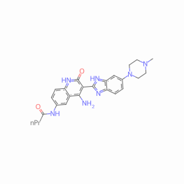 CCCC(=O)Nc1ccc2[nH]c(=O)c(-c3nc4ccc(N5CCN(C)CC5)cc4[nH]3)c(N)c2c1